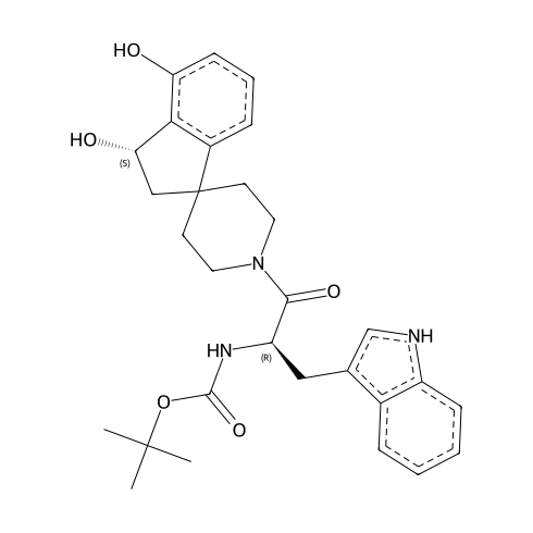 CC(C)(C)OC(=O)N[C@H](Cc1c[nH]c2ccccc12)C(=O)N1CCC2(CC1)C[C@H](O)c1c(O)cccc12